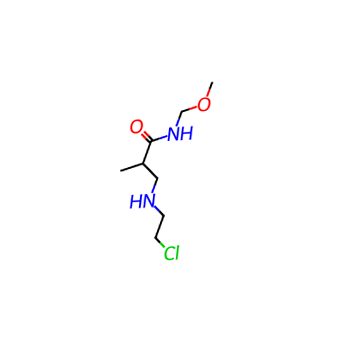 COCNC(=O)C(C)CNCCCl